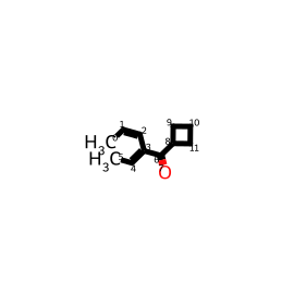 C/C=C\C(=C/C)C(=O)C1CCC1